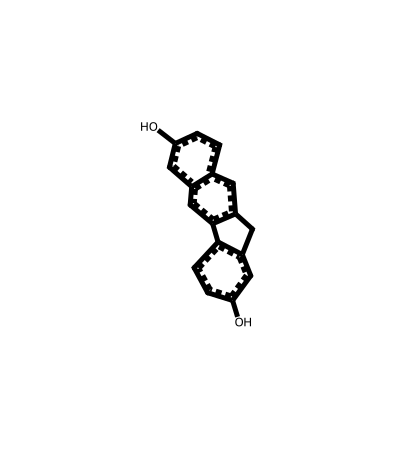 Oc1ccc2c(c1)Cc1cc3ccc(O)cc3cc1-2